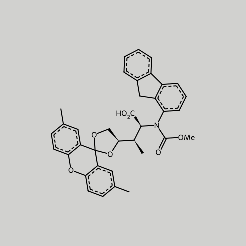 COC(=O)N(c1cccc2c1Cc1ccccc1-2)[C@H](C(=O)O)[C@@H](C)[C@@H]1COC2(O1)c1cc(C)ccc1Oc1ccc(C)cc12